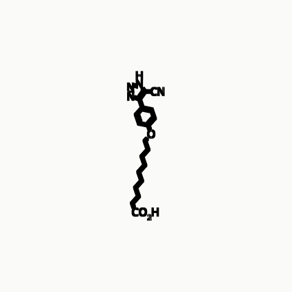 N#Cc1[nH]nnc1-c1ccc(OCCCCCCCCCC(=O)O)cc1